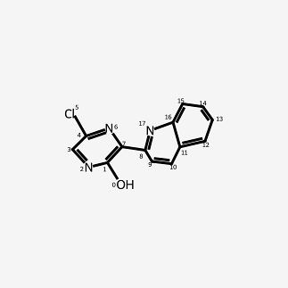 Oc1ncc(Cl)nc1-c1ccc2ccccc2n1